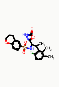 Cc1ccc(F)c(C(C)C(NS(=O)(=O)c2ccc3c(c2)CCCO3)c2n[nH]c(=O)o2)c1C